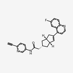 C#Cc1ccc(NC(=O)C[C@@H]2C[C@@H]3CC(c4ccnc5ccc(F)cc45)=C[C@@H]3C2)cn1